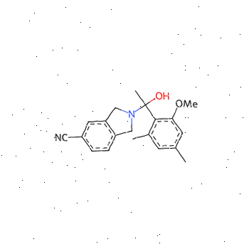 COc1cc(C)cc(C)c1C(C)(O)N1Cc2ccc(C#N)cc2C1